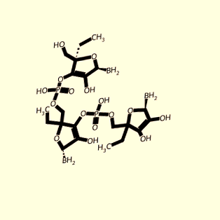 B[C@@H]1OC(CC)(COP(=O)(O)OC2=C(O)[C@H](B)OC2(CC)COP(=O)(O)OC2=C(O)[C@H](B)O[C@]2(CC)CO)C(O)=C1O